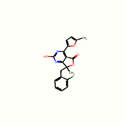 Cc1ccc(-c2nc(O)nc3c2C(=O)OC3(C)Cc2ccccc2F)o1